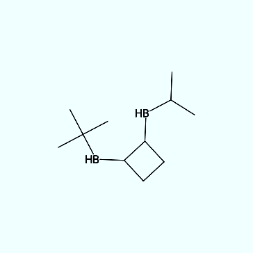 CC(C)BC1CCC1BC(C)(C)C